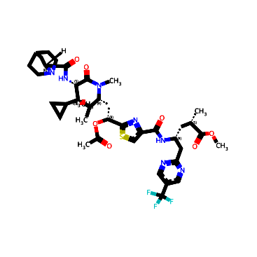 COC(=O)[C@@H](C)C[C@H](Cc1ncc(C(F)(F)F)cn1)NC(=O)c1csc([C@@H](C[C@H](C(C)C)N(C)C(=O)[C@@H](NC(=O)[C@H]2CC3CCN2CC3)[C@@H](C)C2CC2)OC(C)=O)n1